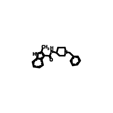 Cc1[nH]c2ccccc2c1C(=O)NC1CCN(Cc2ccccc2)CC1